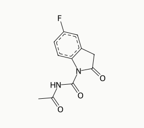 CC(=O)NC(=O)N1C(=O)Cc2cc(F)ccc21